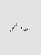 [F-].[F-].[F-].[F-].[F-].[F-].[Rh+6]